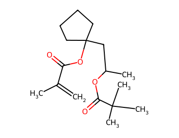 C=C(C)C(=O)OC1(CC(C)OC(=O)C(C)(C)C)CCCC1